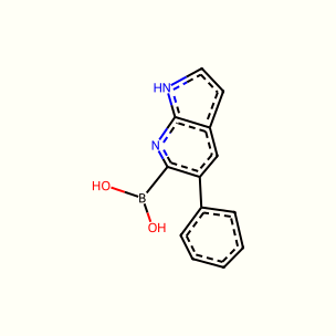 OB(O)c1nc2[nH]ccc2cc1-c1ccccc1